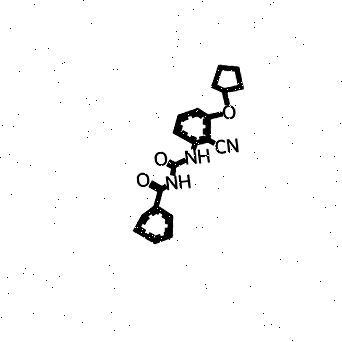 N#Cc1c(NC(=O)NC(=O)c2ccccc2)cccc1OC1CCCC1